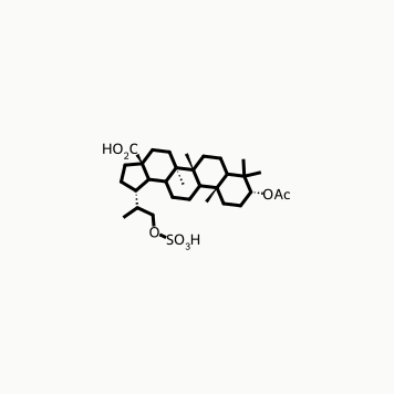 CC(=O)O[C@@H]1CC[C@@]2(C)C(CC[C@]3(C)C2CCC2C4[C@H](C(C)COS(=O)(=O)O)CC[C@]4(C(=O)O)CC[C@]23C)C1(C)C